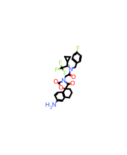 Nc1ccc2c(c1)CCCC21OC(=O)N(CC(=O)N(Cc2ccc(F)cc2)[C@@H](C2CC2)C(F)(F)F)C1=O